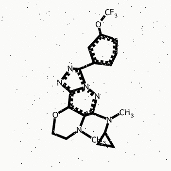 CN1CCOc2c1c(N(C)C1CC1)nn1c(-c3cccc(OC(F)(F)F)c3)nnc21